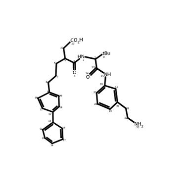 CC(C)(C)C(NC(=O)C(CCCc1ccc(-c2ccccc2)cc1)CC(=O)O)C(=O)Nc1cccc(CCN)c1